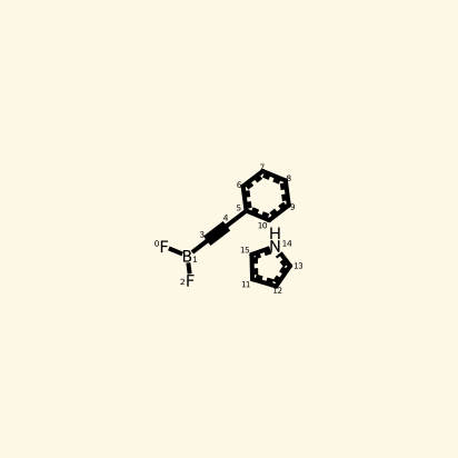 FB(F)C#Cc1ccccc1.c1cc[nH]c1